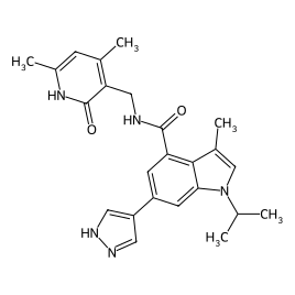 Cc1cc(C)c(CNC(=O)c2cc(-c3cn[nH]c3)cc3c2c(C)cn3C(C)C)c(=O)[nH]1